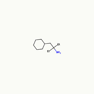 CCC(N)(CC)CC1CCCCC1